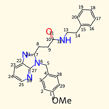 COc1ccc(Cn2c(CCC(=O)NCCc3ccccc3)nc3cccnc32)cc1